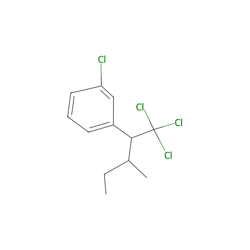 CCC(C)C(c1cccc(Cl)c1)C(Cl)(Cl)Cl